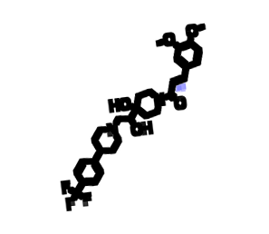 COc1ccc(/C=C/C(=O)N2CCC(O)(C(O)CN3CCC(c4ccc(C(F)(F)F)cc4)CC3)CC2)cc1OC